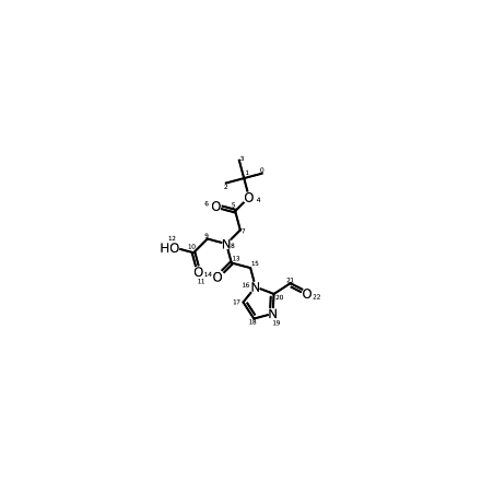 CC(C)(C)OC(=O)CN(CC(=O)O)C(=O)Cn1ccnc1C=O